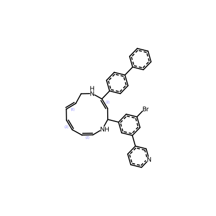 Brc1cc(-c2cccnc2)cc(C2/C=C(/c3ccc(-c4ccccc4)cc3)NC/C=C/C=C\C=C/N2)c1